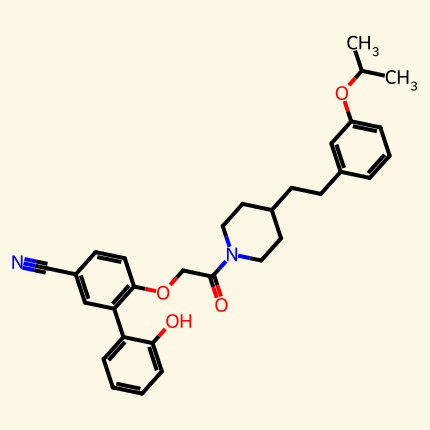 CC(C)Oc1cccc(CCC2CCN(C(=O)COc3ccc(C#N)cc3-c3ccccc3O)CC2)c1